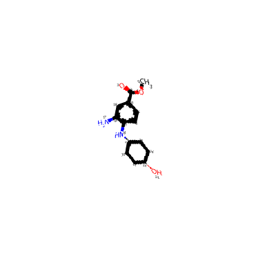 COC(=O)c1ccc(N[C@H]2CC[C@@H](O)CC2)c(N)c1